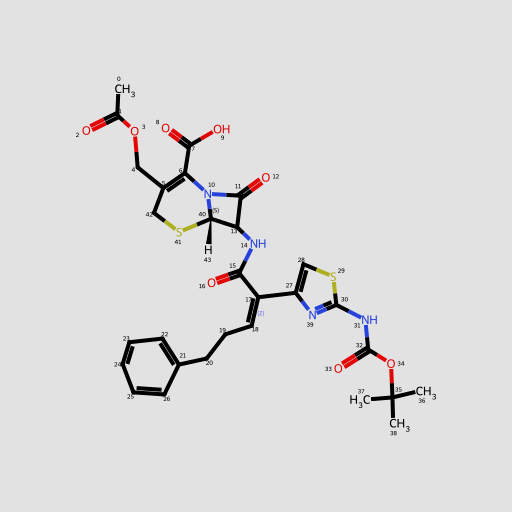 CC(=O)OCC1=C(C(=O)O)N2C(=O)C(NC(=O)/C(=C\CCc3ccccc3)c3csc(NC(=O)OC(C)(C)C)n3)[C@@H]2SC1